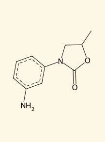 CC1CN(c2cccc(N)c2)C(=O)O1